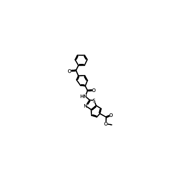 COC(=O)c1ccc2nc(NC(=O)c3ccc(C(=O)c4ccccc4)cc3)sc2c1